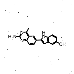 Cc1nc(N)nc2ccc(-c3cc4cc(O)ccc4[nH]3)cc12